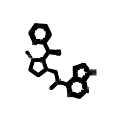 C[C@H]1CC[C@H](CN(C)c2ncnc3[nH]ccc23)N1C(=O)c1ccccn1